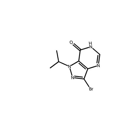 CC(C)n1nc(Br)c2nc[nH]c(=O)c21